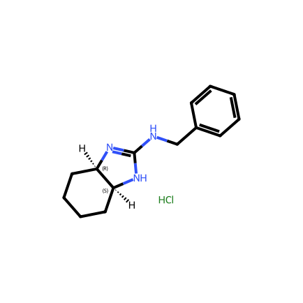 Cl.c1ccc(CNC2=N[C@@H]3CCCC[C@@H]3N2)cc1